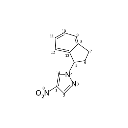 O=[N+]([O-])c1cnn(C2CCc3ccccc32)c1